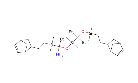 CCC(N)(O[Si](C)(C)C(CC)(CC)O[Si](C)(C)CCC1CC2C=CC1C2)[Si](C)(C)CCC1CC2C=CC1C2